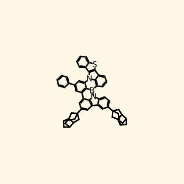 c1ccc(-c2cc3c4c(c2)-n2c5c(cccc5c5sc6ccccc6c52)B4n2c4ccc(C56CC7CC8CC7(C5)C8C6)cc4c4cc(C56CC7CC8CC7(C5)C8C6)cc-3c42)cc1